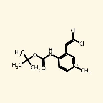 C[n+]1ccc(NC(=O)OC(C)(C)C)c(C=C(Cl)Cl)c1